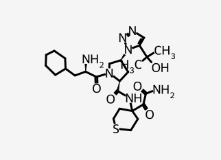 CC(C)(O)c1cnnn1[C@H]1C[C@@H](C(=O)NC2(C(=O)C(N)=O)CCSCC2)N(C(=O)[C@H](N)CC2CCCCC2)C1